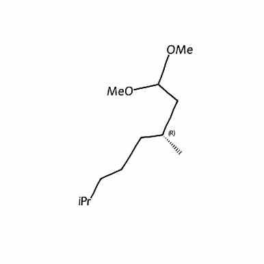 COC(C[C@H](C)CCCC(C)C)OC